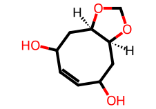 OC1/C=C\C(O)C[C@H]2OCO[C@H]2C1